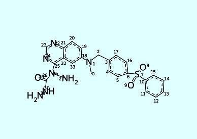 CN(Cc1ccc(S(=O)(=O)c2ccccc2)cc1)c1ccc2ncnc(N(N)C(=O)NN)c2c1